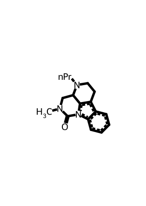 CCCN1CCc2c3n(c4ccccc24)C(=O)N(C)CC31